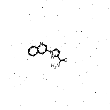 NC(=O)c1ccn(-c2cnc3ccccc3c2)n1